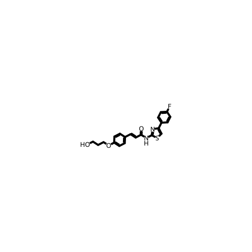 O=C(/C=C/c1ccc(OCCCO)cc1)Nc1nc(-c2ccc(F)cc2)cs1